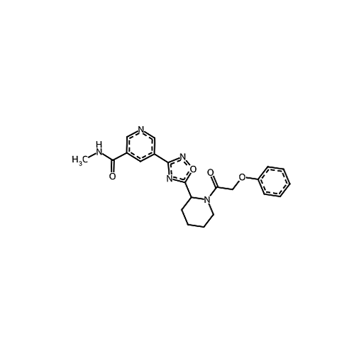 CNC(=O)c1cncc(-c2noc(C3CCCCN3C(=O)COc3ccccc3)n2)c1